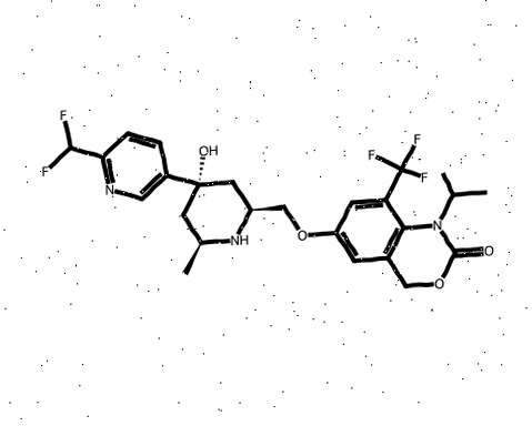 CC(C)N1C(=O)OCc2cc(OC[C@@H]3C[C@](O)(c4ccc(C(F)F)nc4)C[C@H](C)N3)cc(C(F)(F)F)c21